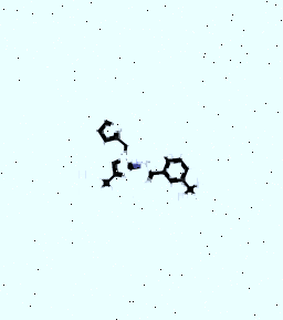 CC(C)(C)c1cn(Cc2ccco2)/c(=N/C(=O)c2cc(C(F)(F)F)ccc2F)s1